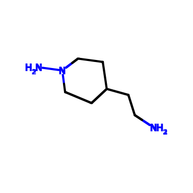 NCCC1CCN(N)CC1